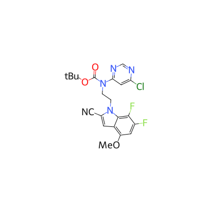 COc1cc(F)c(F)c2c1cc(C#N)n2CCN(C(=O)OC(C)(C)C)c1cc(Cl)ncn1